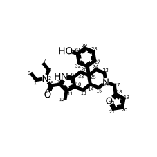 CCN(CC)C(=O)c1[nH]c2c(c1C)CC1CN(Cc3ccco3)CCC1(c1cccc(O)c1)C2